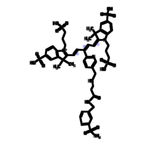 CC1(C)C(/C=C/C(=C/C=C2/N(CCCS(=O)(=O)O)c3ccc(S(=O)(=O)O)cc3C2(C)C)c2ccc(CNCCC(=O)NCc3cccc(S(N)(=O)=O)c3)cn2)=[N+](CCCS(=O)(=O)O)c2ccc(S(=O)(=O)O)cc21